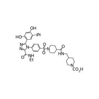 CCNC(=O)c1nnc(-c2cc(C(C)C)c(O)cc2O)n1-c1ccc(S(=O)(=O)N2CCC(C(=O)NCC3CCN(C(=O)O)CC3)CC2)cc1